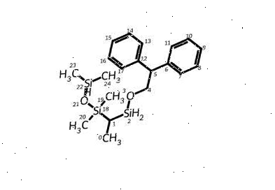 CC([SiH2]OCC(c1ccccc1)c1ccccc1)[Si](C)(C)O[SiH](C)C